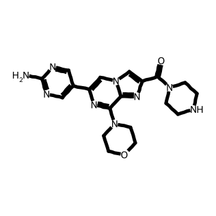 Nc1ncc(-c2cn3cc(C(=O)N4CCNCC4)nc3c(N3CCOCC3)n2)cn1